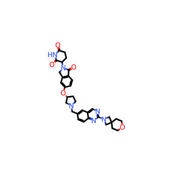 O=C1CCC(N2Cc3cc(O[C@H]4CCN(Cc5ccc6nc(N7CC8(CCOCC8)C7)ncc6c5)C4)ccc3C2=O)C(=O)N1